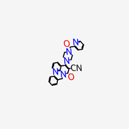 N#Cc1c(N2CCN(C(=O)c3ccccn3)CC2)c2cccnc2n(Cc2ccccc2)c1=O